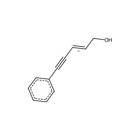 OC/C=C/C#Cc1ccccc1